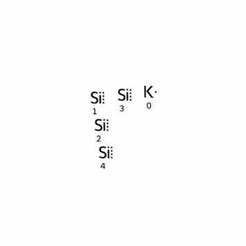 [K].[Si].[Si].[Si].[Si]